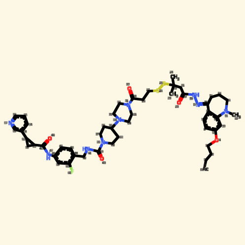 CC(=O)CCCOc1ccc2c(c1)N(C)CCC/C2=N\NC(=O)CC(C)(C)SSCCC(=O)N1CCN(C2CCN(C(=O)NCc3ccc(NC(=O)C4CC4c4cccnc4)cc3F)CC2)CC1